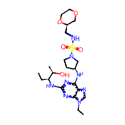 CC[C@H](Nc1nc(N[C@H]2CCN(S(=O)(=O)NC[C@@H]3COCCO3)C2)c2ncn(CC)c2n1)[C@@H](C)O